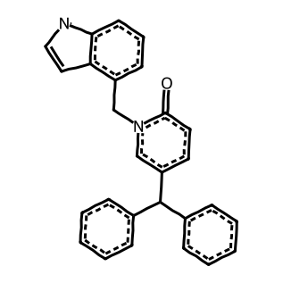 O=c1ccc(C(c2ccccc2)c2ccccc2)cn1Cc1cccc2c1C=C[N]2